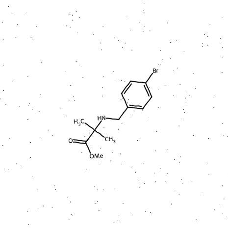 COC(=O)C(C)(C)NCc1ccc(Br)cc1